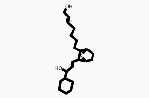 OC/C=C/CCCCC1C2CCC(O2)C1/C=C/C(O)C1CCCCC1